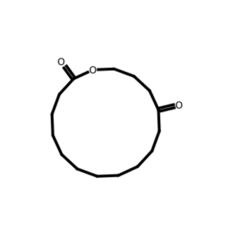 O=C1CCCCCCCCCCC(=O)OCCC1